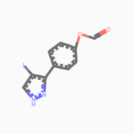 O=COc1ccc(-c2n[nH]cc2I)cc1